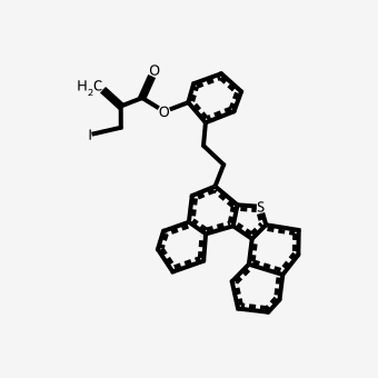 C=C(CI)C(=O)Oc1ccccc1CCc1cc2ccccc2c2c1sc1ccc3ccccc3c12